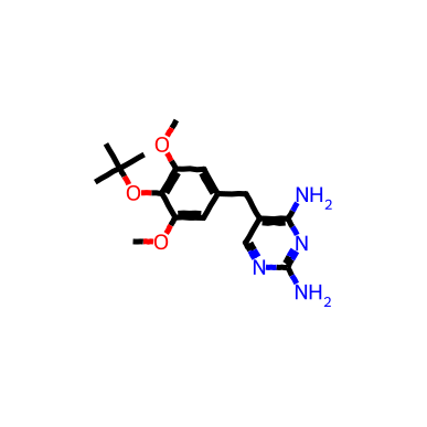 COc1cc(Cc2cnc(N)nc2N)cc(OC)c1OC(C)(C)C